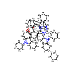 c1ccc(-c2ccc3c4c(-c5cccc6c5c5ccccc5n6-c5ccccc5)cccc4n(-c4ccccc4-c4nc(-c5ccccc5-c5ccccc5)nc(-c5cccc6oc7cccc(-c8ccccc8)c7c56)n4)c3c2)cc1